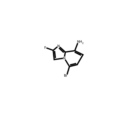 Nc1ccc(Br)n2cc(F)nc12